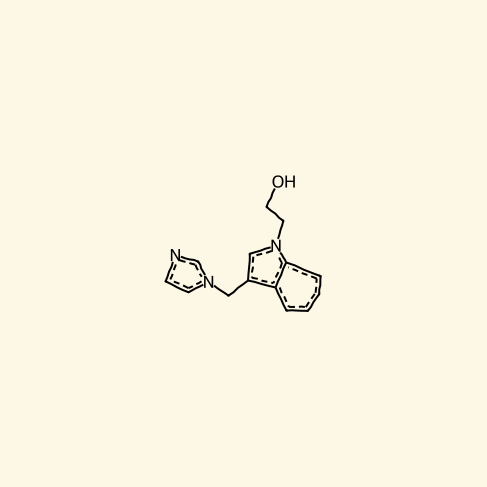 OCCn1cc(Cn2ccnc2)c2ccccc21